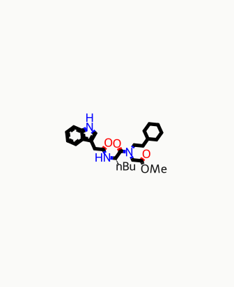 CCCC[C@H](NC(=O)Cc1c[nH]c2ccccc12)C(=O)N(CCC1CCCCC1)CC(=O)OC